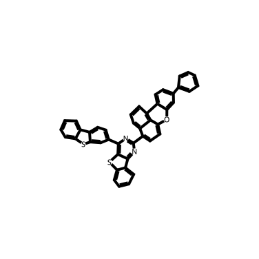 c1ccc(-c2ccc3c(c2)Oc2ccc(-c4nc(-c5ccc6c(c5)sc5ccccc56)c5sc6ccccc6c5n4)c4cccc-3c24)cc1